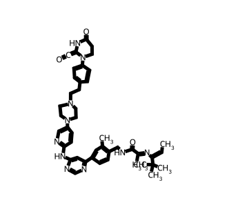 C/C=C(\N=C(/C)C(=O)NCc1ccc(-c2cc(Nc3ccc(N4CCN(CCc5ccc(N6CCC(=O)NC6=C=O)cc5)CC4)cn3)ncn2)cc1C)C(C)(C)C